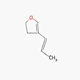 CC=CC1=COCC1